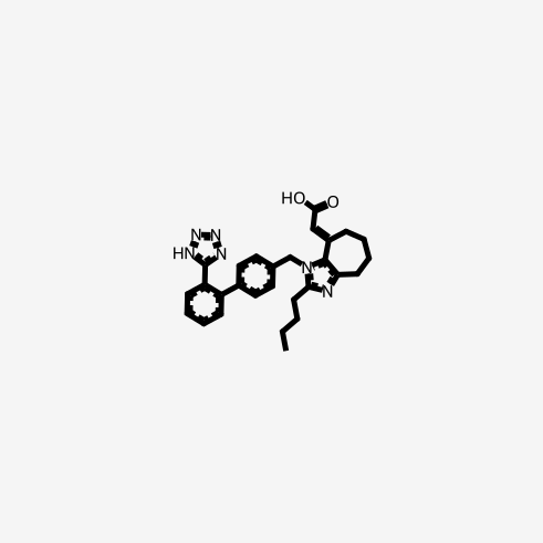 CCCCc1nc2c(n1Cc1ccc(-c3ccccc3-c3nnn[nH]3)cc1)C(=CC(=O)O)CCCC2